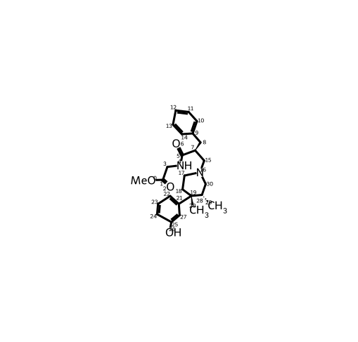 COC(=O)CNC(=O)[C@@H](Cc1ccccc1)CN1CC[C@@](C)(c2cccc(O)c2)[C@@H](C)C1